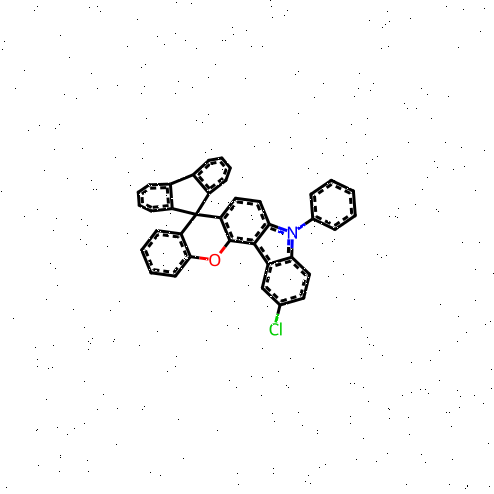 Clc1ccc2c(c1)c1c3c(ccc1n2-c1ccccc1)C1(c2ccccc2O3)c2ccccc2-c2ccccc21